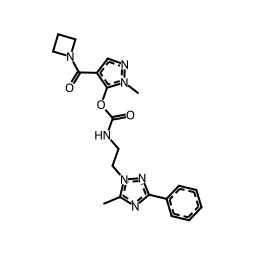 Cc1nc(-c2ccccc2)nn1CCNC(=O)Oc1c(C(=O)N2CCC2)cnn1C